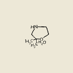 CC1(C)CNCCO1.O